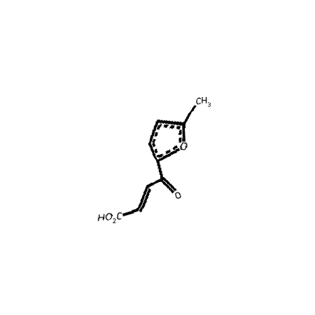 Cc1ccc(C(=O)C=CC(=O)O)o1